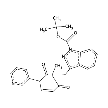 CC(C)(C)OC(=O)n1nc(CC2(C)C(=O)C=CC(c3cccnc3)C2=O)c2ccccc21